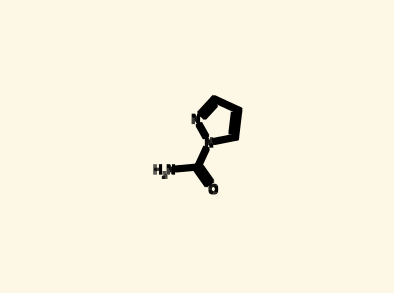 NC(=O)n1cccn1